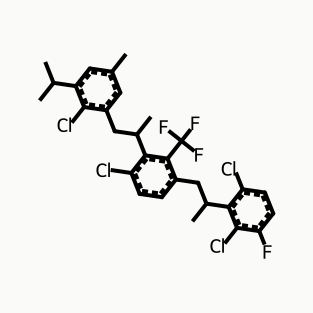 Cc1cc(CC(C)c2c(Cl)ccc(CC(C)c3c(Cl)ccc(F)c3Cl)c2C(F)(F)F)c(Cl)c(C(C)C)c1